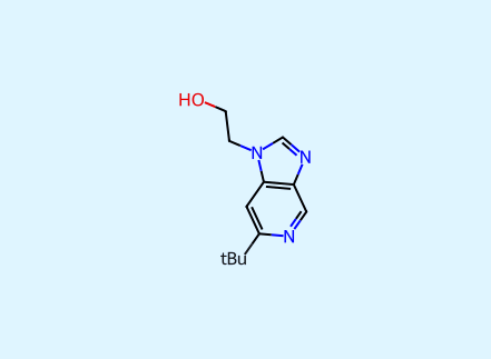 CC(C)(C)c1cc2c(cn1)ncn2CCO